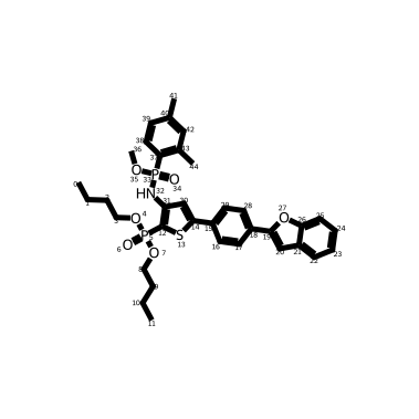 CCCCOP(=O)(OCCCC)c1sc(-c2ccc(-c3cc4ccccc4o3)cc2)cc1NP(=O)(OC)c1ccc(C)cc1C